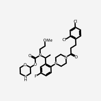 COCCN(C(=O)OC1CNCCO1)C(C)c1cc(F)ccc1N1CCN(C(=O)CCc2ccc(Cl)cc2Cl)CC1